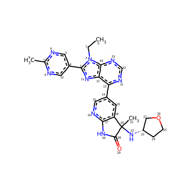 CCn1c(-c2cnc(C)nc2)nc2c(-c3cnc4c(c3)C(C)(N[C@H]3CCOC3)C(=O)N4)ncnc21